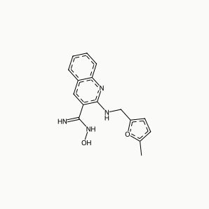 Cc1ccc(CNc2nc3ccccc3cc2C(=N)NO)o1